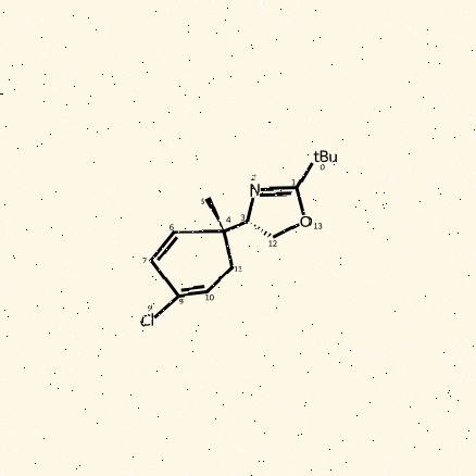 CC(C)(C)C1=N[C@@H]([C@@]2(C)C=CC(Cl)=CC2)CO1